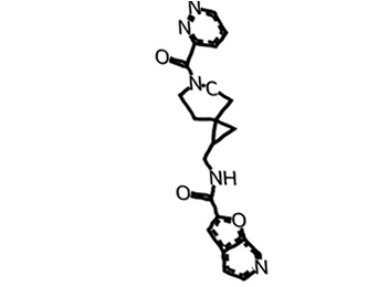 O=C(NCC1CC12CCN(C(=O)c1cccnn1)CC2)c1cc2ccncc2o1